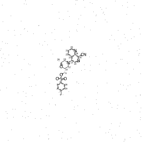 Cc1ccc(S(=O)(=O)OC[C@H]2CN(c3cnc(C#N)c4ncccc34)C[C@@H](C)O2)cc1